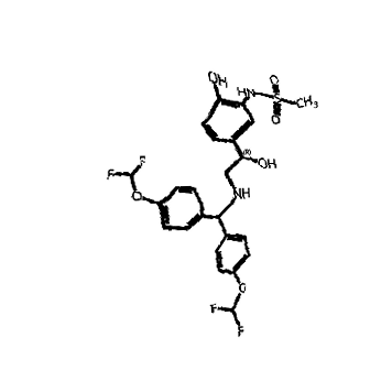 CS(=O)(=O)Nc1cc([C@@H](O)CNC(c2ccc(OC(F)F)cc2)c2ccc(OC(F)F)cc2)ccc1O